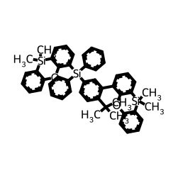 CC(C)(C)c1ccc([Si](c2ccccc2)(c2ccccc2)c2cccc3c2Oc2ccccc2[Si]3(C)C)cc1-c1cccc2c1Oc1ccccc1[Si]2(C)C